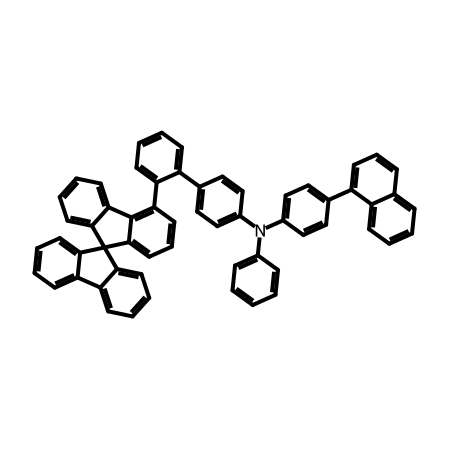 c1ccc(N(c2ccc(-c3ccccc3-c3cccc4c3-c3ccccc3C43c4ccccc4-c4ccccc43)cc2)c2ccc(-c3cccc4ccccc34)cc2)cc1